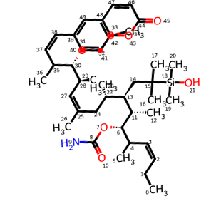 CC/C=C\C(C)[C@H](OC(N)=O)[C@@H](C)[C@H](CC(C)(C)[Si](C)(C)O)[C@@H](C)C/C(C)=C\[C@H](C)[C@@H](OCOC)C(C)/C=C\c1ccc2oc(=O)ccc2c1